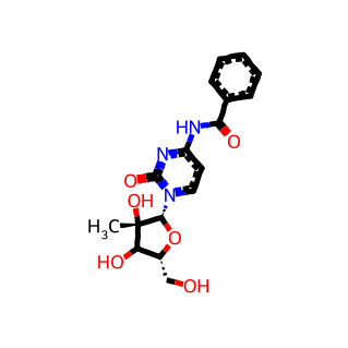 C[C@]1(O)C(O)[C@@H](CO)O[C@H]1n1ccc(NC(=O)c2ccccc2)nc1=O